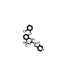 O=S1(=O)N=C(NCc2ccncc2F)Nc2c(Oc3ccccc3Cl)cccc21